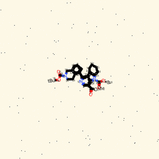 COC(=O)c1cnc(-c2cccc3c2CCN(C(=O)OC(C)(C)C)C3)c2c3c(n(C(=O)OC(C)(C)C)c12)CCCC3